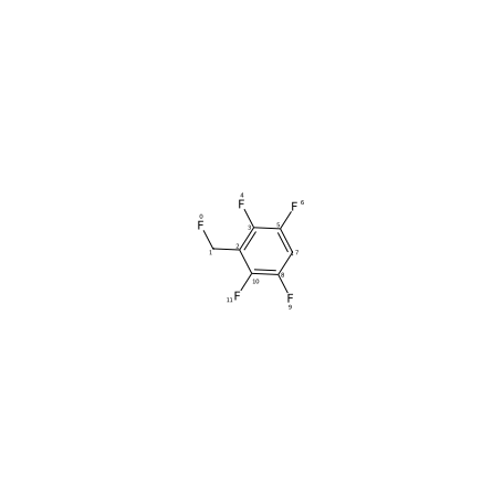 FCc1c(F)c(F)[c]c(F)c1F